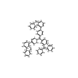 C1=CC(N(c2ccc(-c3cccc4sc5ccccc5c34)cc2)c2ccc3c4ccccc4n(-c4ccccc4)c3c2)CC=C1c1cccc2c1sc1ccccc12